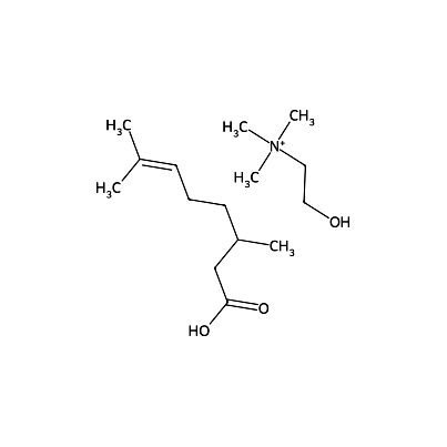 CC(C)=CCCC(C)CC(=O)O.C[N+](C)(C)CCO